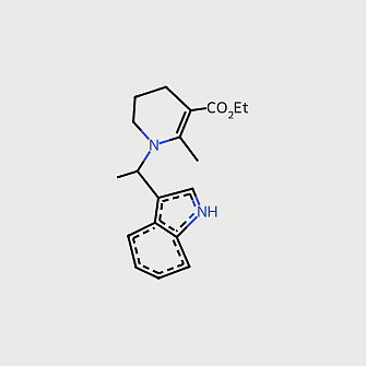 CCOC(=O)C1=C(C)N(C(C)c2c[nH]c3ccccc23)CCC1